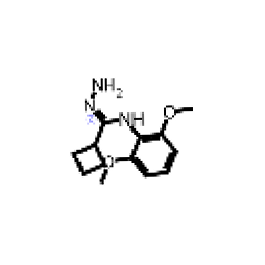 COc1cccc(OC)c1N/C(=N\N)C1CCC1